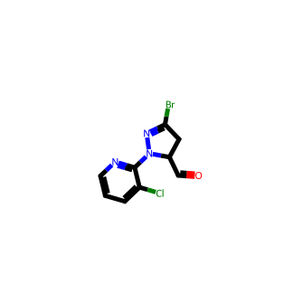 O=CC1CC(Br)=NN1c1ncccc1Cl